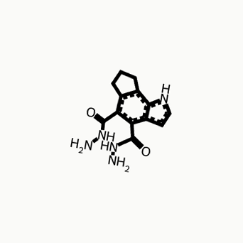 NNC(=O)c1c2c(c3[nH]ccc3c1C(=O)NN)CCC2